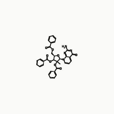 CC1(OC(=O)c2ccccc2)C(OC(=O)c2ccccc2)[C@@H](COC(=O)c2ccccc2)O[C@H]1n1cccc2c(=O)nc(N)nc1-2